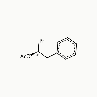 CC(=O)O[C@H](Cc1ccccc1)C(C)C